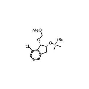 COCO[C@H]1c2c(Cl)cccc2C[C@H]1O[Si](C)(C)C(C)(C)C